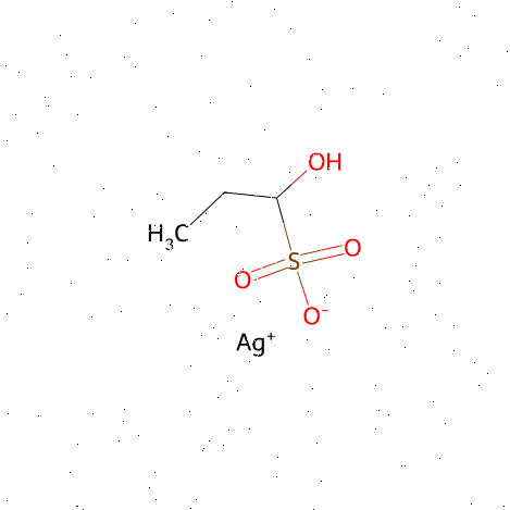 CCC(O)S(=O)(=O)[O-].[Ag+]